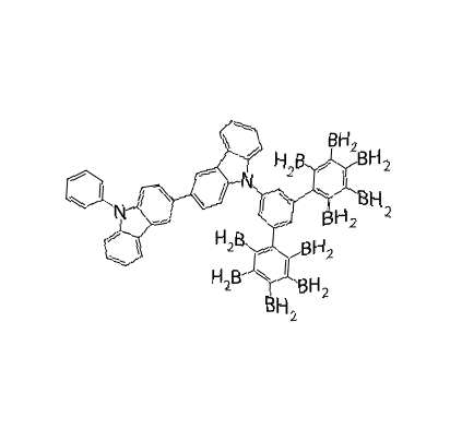 Bc1c(B)c(B)c(-c2cc(-c3c(B)c(B)c(B)c(B)c3B)cc(-n3c4ccccc4c4cc(-c5ccc6c(c5)c5ccccc5n6-c5ccccc5)ccc43)c2)c(B)c1B